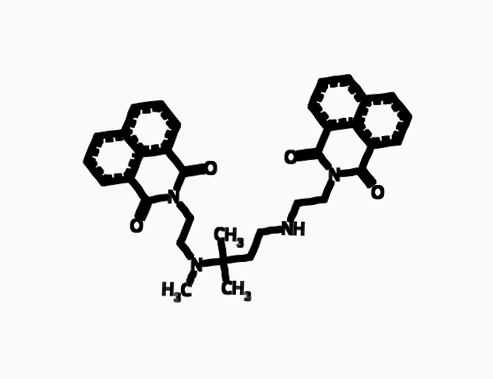 CN(CCN1C(=O)c2cccc3cccc(c23)C1=O)C(C)(C)CCNCCN1C(=O)c2cccc3cccc(c23)C1=O